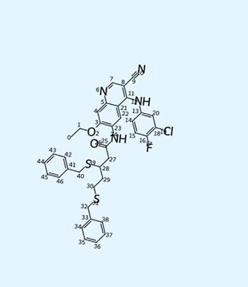 CCOc1cc2ncc(C#N)c(Nc3ccc(F)c(Cl)c3)c2cc1NC(=O)CC(CCSCc1ccccc1)SCc1ccccc1